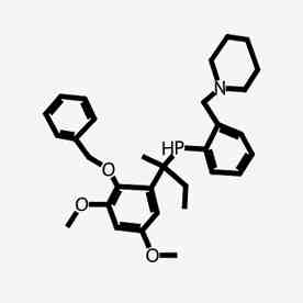 CCC(C)(Pc1ccccc1CN1CCCCC1)c1cc(OC)cc(OC)c1OCc1ccccc1